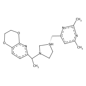 Cc1cc(C[Si@@H]2CCN(C(C)c3ccc4c(n3)OCCO4)C2)nc(C)n1